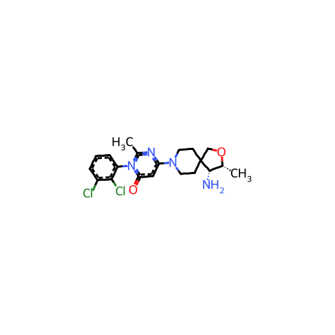 Cc1nc(N2CCC3(CC2)CO[C@H](C)[C@@H]3N)cc(=O)n1-c1cccc(Cl)c1Cl